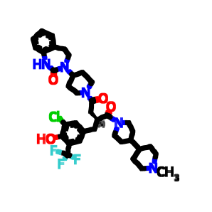 CN1CCC(C2CCN(C(=O)[C@H](CC(=O)N3CCC(N4CCc5ccccc5NC4=O)CC3)Cc3cc(Cl)c(O)c(C(F)(F)F)c3)CC2)CC1